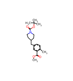 COC(=O)c1cc(CC2CCN(C(=O)OC(C)(C)C)CC2)ccc1C